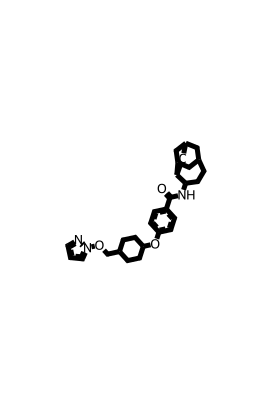 O=C(NC1CCC2CC3CC(C2)C1C3)c1ccc(OC2CCC(COn3cccn3)CC2)cc1